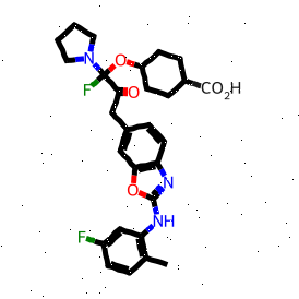 Cc1ccc(F)cc1Nc1nc2ccc(CC(=O)C(F)(OC3CCC(C(=O)O)CC3)N3CCCC3)cc2o1